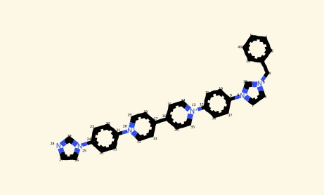 c1ccc(C[n+]2ccn(-c3ccc(-[n+]4ccc(-c5cc[n+](-c6ccc(-n7ccnc7)cc6)cc5)cc4)cc3)c2)cc1